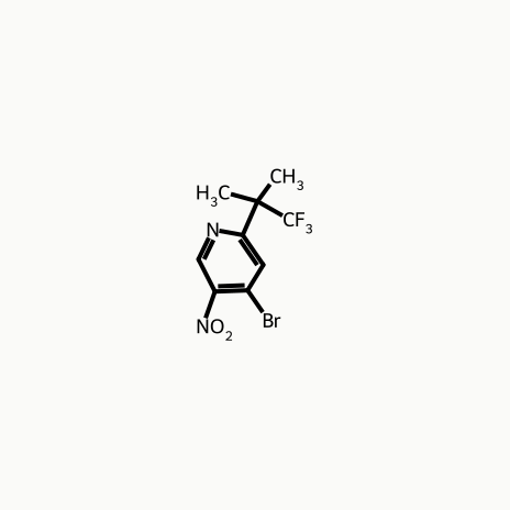 CC(C)(c1cc(Br)c([N+](=O)[O-])cn1)C(F)(F)F